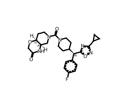 O=C1CO[C@H]2CCN(C(=O)N3CCC([C@H](c4ccc(F)cc4)c4nc(C5CC5)no4)CC3)C[C@H]2N1